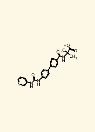 CC(C)(NC(=O)c1ccc(-c2ccc(NC(=O)Nc3cccnc3)cc2)cc1)C(=O)O